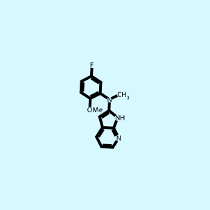 COc1ccc(F)cc1N(C)c1cc2cccnc2[nH]1